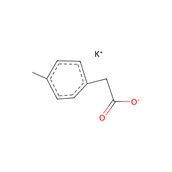 Cc1ccc(CC(=O)[O-])cc1.[K+]